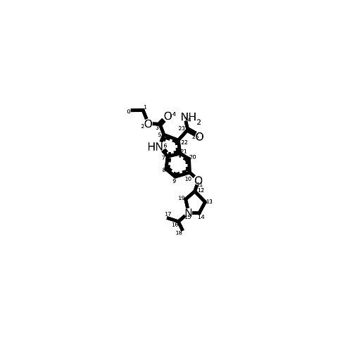 CCOC(=O)c1[nH]c2ccc(OC3CCN(C(C)C)C3)cc2c1C(N)=O